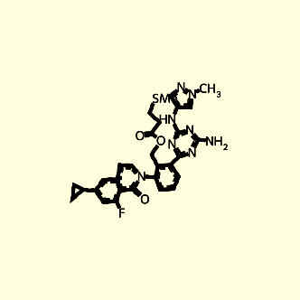 CSCCC(=O)OCc1c(-c2nc(N)nc(Nc3cnn(C)c3)n2)cccc1-n1ccc2cc(C3CC3)cc(F)c2c1=O